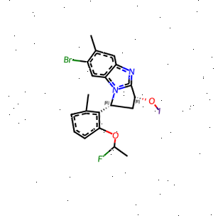 Cc1cc2nc3n(c2cc1Br)[C@@H](c1c(C)cccc1OC(C)F)C[C@H]3OI